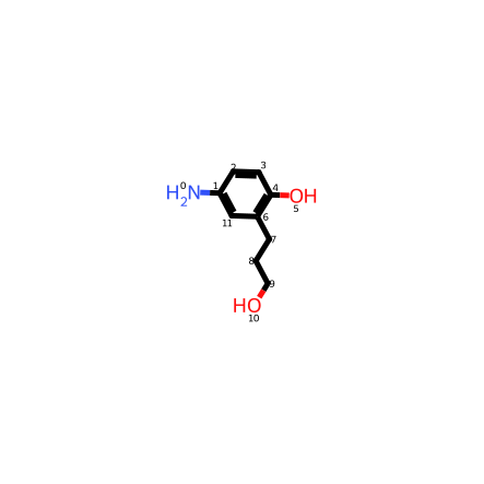 Nc1ccc(O)c(CCCO)c1